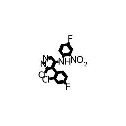 O=[N+]([O-])c1cc(F)ccc1Nc1cnnc(Cl)c1-c1ccc(F)cc1Cl